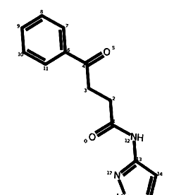 O=C(CCC(=O)c1ccccc1)Nc1cc[nH]n1